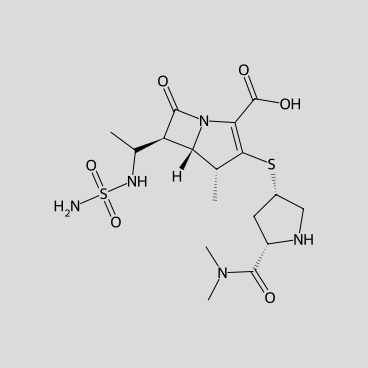 CC(NS(N)(=O)=O)[C@H]1C(=O)N2C(C(=O)O)=C(S[C@@H]3CN[C@H](C(=O)N(C)C)C3)[C@H](C)[C@H]12